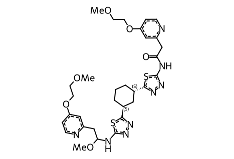 COCCOc1ccnc(CC(=O)Nc2nnc([C@H]3CCC[C@H](c4nnc(NC(Cc5cc(OCCOC)ccn5)OC)s4)C3)s2)c1